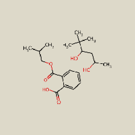 CC(C)COC(=O)c1ccccc1C(=O)O.CC(O)CC(O)C(C)(C)C